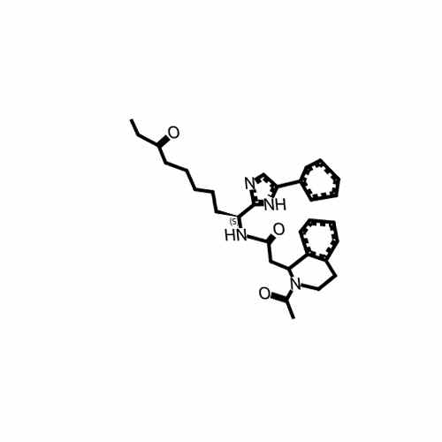 CCC(=O)CCCCC[C@H](NC(=O)CC1c2ccccc2CCN1C(C)=O)c1ncc(-c2ccccc2)[nH]1